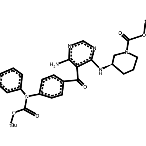 CC(C)(C)OC(=O)N1CCC[C@@H](Nc2ncnc(N)c2C(=O)c2ccc(N(C(=O)OC(C)(C)C)c3ccccc3)cc2)C1